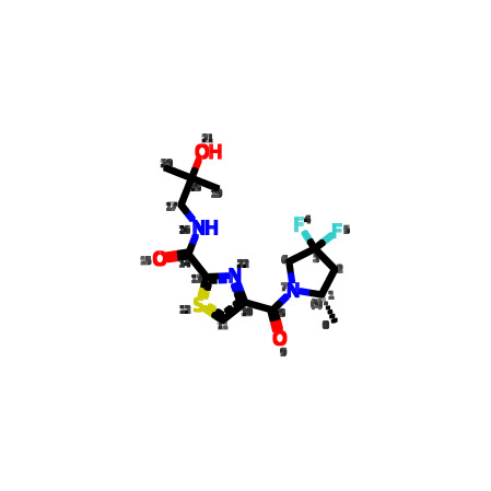 C[C@H]1CC(F)(F)CN1C(=O)c1csc(C(=O)NCC(C)(C)O)n1